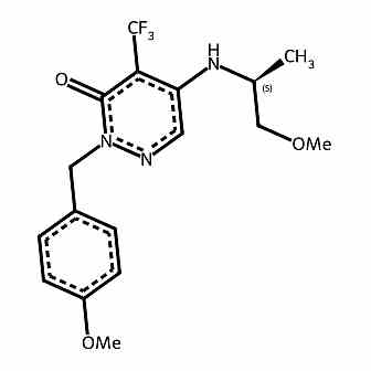 COC[C@H](C)Nc1cnn(Cc2ccc(OC)cc2)c(=O)c1C(F)(F)F